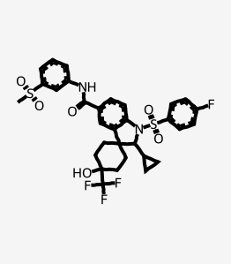 CS(=O)(=O)c1cccc(NC(=O)c2ccc3c(c2)C2(CCC(O)(C(F)(F)F)CC2)C(C2CC2)N3S(=O)(=O)c2ccc(F)cc2)c1